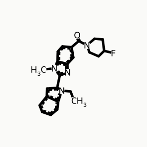 CCn1c(-c2nc3cc(C(=O)N4CCC(F)CC4)ccc3n2C)cc2ccccc21